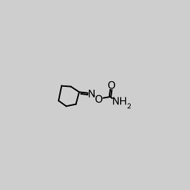 NC(=O)ON=C1CCCCC1